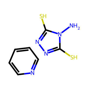 Nn1c(S)nnc1S.c1ccncc1